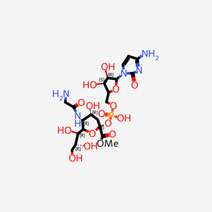 COC(=O)[C@]1(OP(=O)(O)OCC2OC(n3ccc(N)nc3=O)[C@H](O)[C@@H]2O)C[C@@H](O)[C@@H](NC(=O)CN)C([C@H](O)[C@H](O)CO)O1